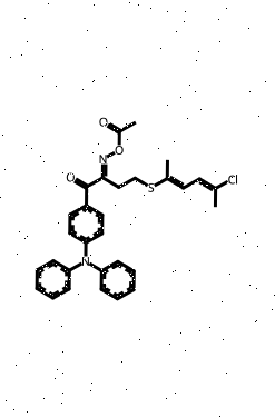 CC(=O)O/N=C(\CCS/C(C)=C/C=C(\C)Cl)C(=O)c1ccc(N(c2ccccc2)c2ccccc2)cc1